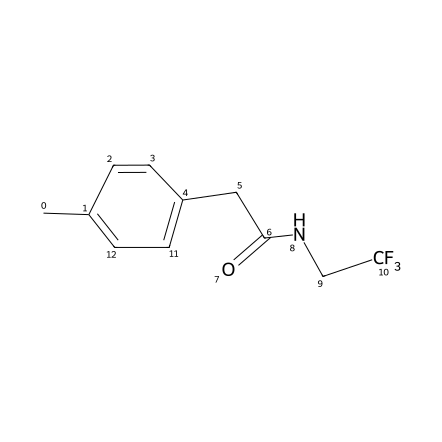 Cc1ccc(CC(=O)NCC(F)(F)F)cc1